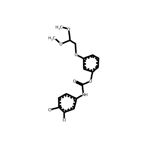 COC(COc1cccc(OC(=O)Nc2ccc(Cl)c(Cl)c2)c1)OC